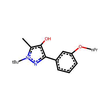 CCCOc1cccc(-c2nn(C(C)(C)C)c(C)c2O)c1